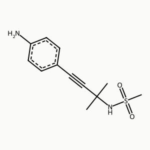 CC(C)(C#Cc1ccc(N)cc1)NS(C)(=O)=O